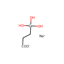 O=C([O-])C[CH2][Ge]([OH])([OH])[OH].[Na+]